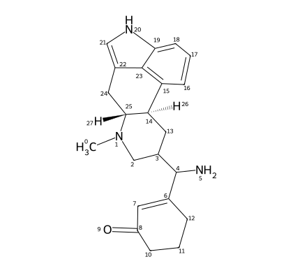 CN1CC(C(N)C2=CC(=O)CCC2)C[C@@H]2c3cccc4[nH]cc(c34)C[C@H]21